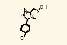 CN1OC(c2ccc(Cl)cc2)N(C)C1CSO